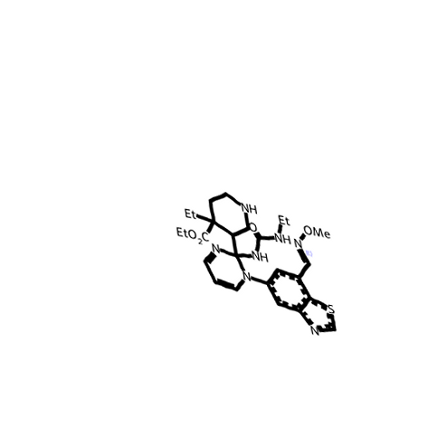 CCNC(=O)NC1(C2CNCCC2(CC)C(=O)OCC)N=CC=CN1c1cc(/C=N/OC)c2scnc2c1